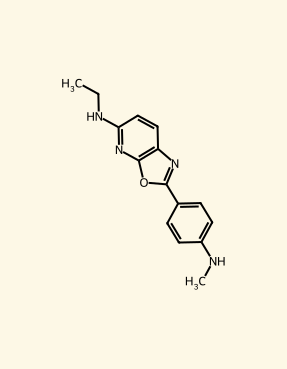 CCNc1ccc2nc(-c3ccc(NC)cc3)oc2n1